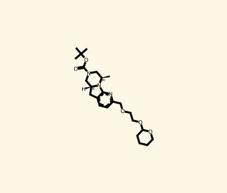 C[C@@H]1CN(C(=O)OC(C)(C)C)C[C@H]2Cc3ccc(COCCOC4CCCCO4)nc3N21